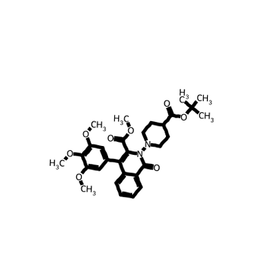 COC(=O)c1c(-c2cc(OC)c(OC)c(OC)c2)c2ccccc2c(=O)n1N1CCC(C(=O)OC(C)(C)C)CC1